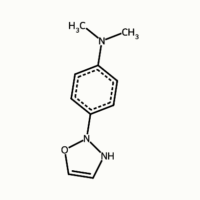 CN(C)c1ccc(N2NC=CO2)cc1